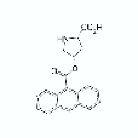 O=C(O[C@@H]1CN[C@H](C(=O)O)C1)c1c2ccccc2cc2ccccc12